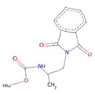 CC(CN1C(=O)c2ccccc2C1=O)NC(=O)OC(C)(C)C